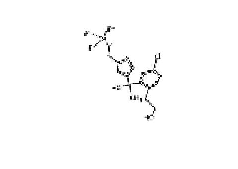 CC(C)[Si](OCc1cc(C(C)(O)c2cc(Cl)ccc2CCO)cs1)(C(C)C)C(C)C